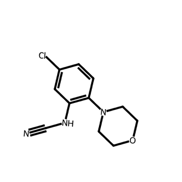 N#CNc1cc(Cl)ccc1N1CCOCC1